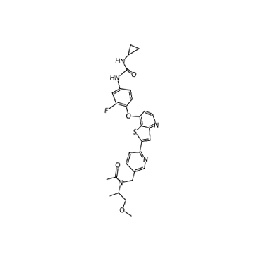 COCC(C)N(Cc1ccc(-c2cc3nccc(Oc4ccc(NC(=O)NC5CC5)cc4F)c3s2)nc1)C(C)=O